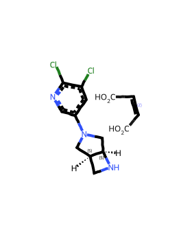 Clc1cc(N2C[C@@H]3CN[C@@H]3C2)cnc1Cl.O=C(O)/C=C\C(=O)O